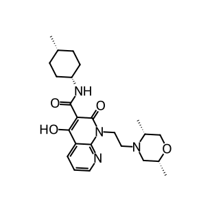 C[C@@H]1CN(CCn2c(=O)c(C(=O)N[C@H]3CC[C@@H](C)CC3)c(O)c3cccnc32)[C@H](C)CO1